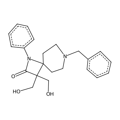 O=C1N(c2ccccc2)C2(CCN(Cc3ccccc3)CC2)C1(CO)CO